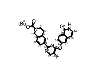 CC(C)(C)OC(=O)N1CCc2cc(-c3ncc(F)c(Oc4ccc5c(=O)[nH]ccc5c4)n3)ccc2C1